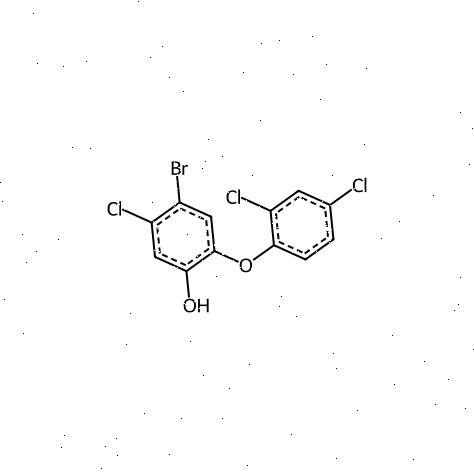 Oc1cc(Cl)c(Br)cc1Oc1ccc(Cl)cc1Cl